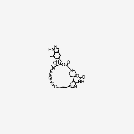 Cc1cc(C[C@H]2OC(=O)N3CCC4(CC3)OC(=O)Nc3ncc(cc34)/C=C/COCCOCCN(C)C2=O)cc2cn[nH]c12